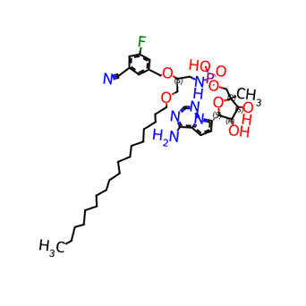 CCCCCCCCCCCCCCCCCCOC[C@H](CNP(=O)(O)OC[C@@]1(C)O[C@@H](c2ccc3c(N)ncnn23)[C@H](O)[C@@H]1O)OCc1cc(F)cc(C#N)c1